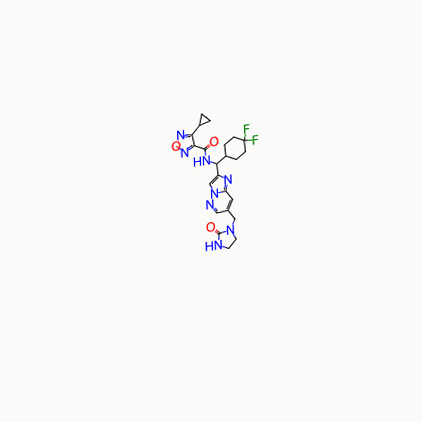 O=C(NC(c1cn2ncc(CN3CCNC3=O)cc2n1)C1CCC(F)(F)CC1)c1nonc1C1CC1